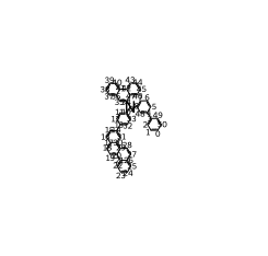 c1ccc(-c2cccc(N(c3ccc(-c4ccc5ccc6c7ccccc7ccc6c5c4)cc3)c3cc4ccccc4c4ccccc34)c2)cc1